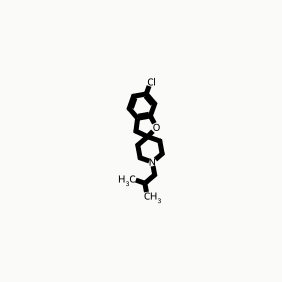 C[C](C)CN1CCC2(CC1)Cc1ccc(Cl)cc1O2